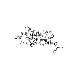 CC(=O)OCC(=O)[C@@]1(O)[C@@H](C)C[C@H]2[C@@H]3CC(=O)C4=CC(=O)C=C[C@]4(C)[C@@]3(F)C(=O)C[C@@]21C